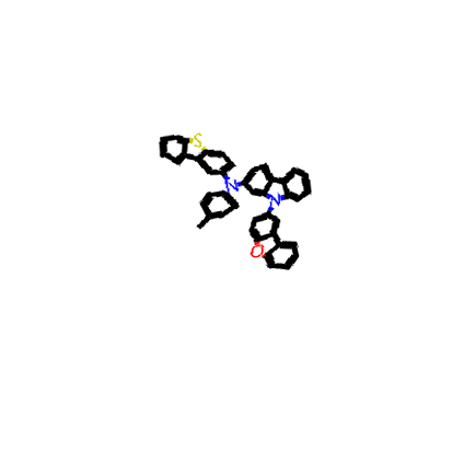 Cc1ccc(N(c2ccc3sc4ccccc4c3c2)c2ccc3c4ccccc4n(-c4ccc5oc6ccccc6c5c4)c3c2)cc1